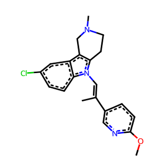 COc1ccc(C(C)=Cn2c3c(c4cc(Cl)ccc42)CN(C)CC3)cn1